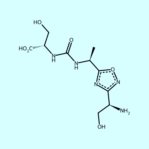 C[C@H](NC(=O)N[C@@H](CO)C(=O)O)c1nc([C@@H](N)CO)no1